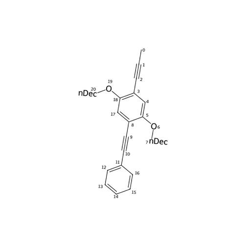 CC#Cc1cc(OCCCCCCCCCC)c(C#Cc2ccccc2)cc1OCCCCCCCCCC